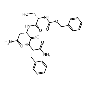 NC(=O)C[C@H](NC(=O)[C@H](CO)NC(=O)OCc1ccccc1)C(=O)N[C@@H](Cc1ccccc1)C(N)=O